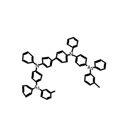 Cc1cccc([As](c2ccccc2)c2ccc(N(c3ccccc3)c3ccc(-c4ccc(N(c5ccccc5)c5ccc([As](c6ccccc6)c6cccc(C)c6)cc5)cc4)cc3)cc2)c1